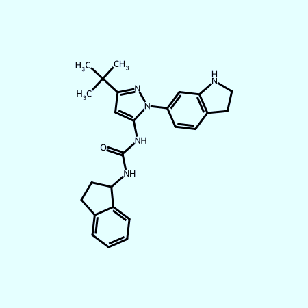 CC(C)(C)c1cc(NC(=O)NC2CCc3ccccc32)n(-c2ccc3c(c2)NCC3)n1